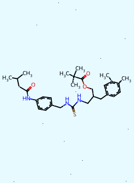 Cc1ccc(CC(CNC(=S)NCc2ccc(NC(=O)CC(C)C)cc2)COC(=O)C(C)(C)C)cc1C